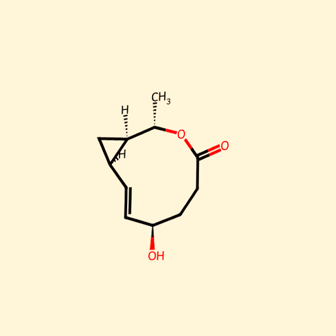 C[C@@H]1OC(=O)CC[C@@H](O)/C=C/[C@H]2C[C@@H]12